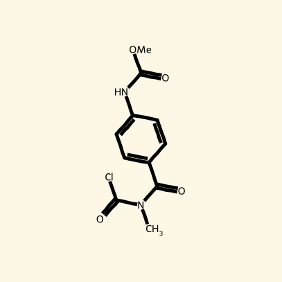 COC(=O)Nc1ccc(C(=O)N(C)C(=O)Cl)cc1